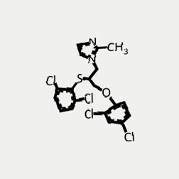 Cc1nccn1CC(COc1ccc(Cl)cc1Cl)Sc1c(Cl)cccc1Cl